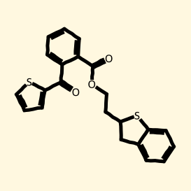 O=C(OCCC1Cc2ccccc2S1)c1ccccc1C(=O)c1cccs1